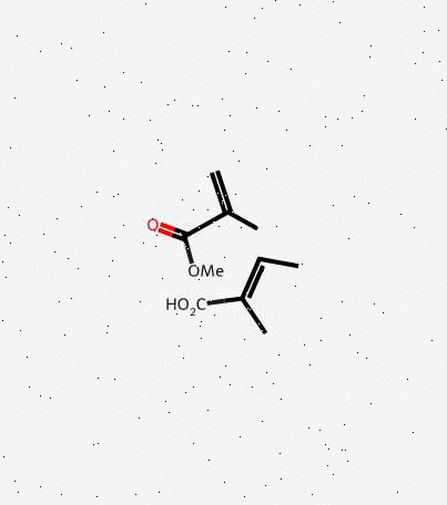 C=C(C)C(=O)OC.CC=C(C)C(=O)O